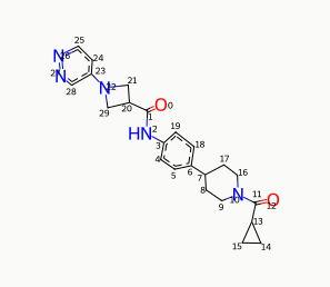 O=C(Nc1ccc(C2CCN(C(=O)C3CC3)CC2)cc1)C1CN(c2ccnnc2)C1